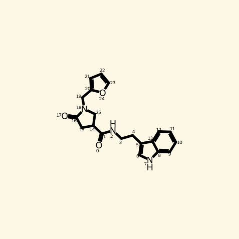 O=C(NCCc1c[nH]c2ccccc12)C1CC(=O)N(Cc2ccco2)C1